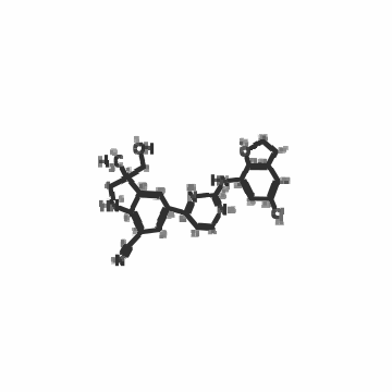 CC1(CO)CNc2c(C#N)cc(-c3ccnc(Nc4cc(Cl)cc5c4OCC5)n3)cc21